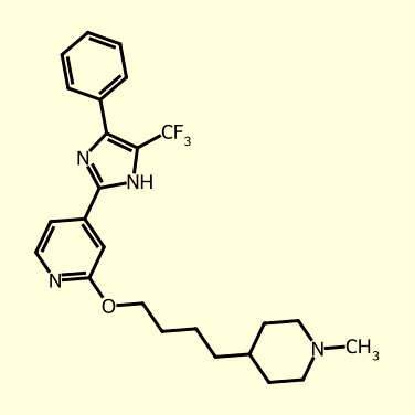 CN1CCC(CCCCOc2cc(-c3nc(-c4ccccc4)c(C(F)(F)F)[nH]3)ccn2)CC1